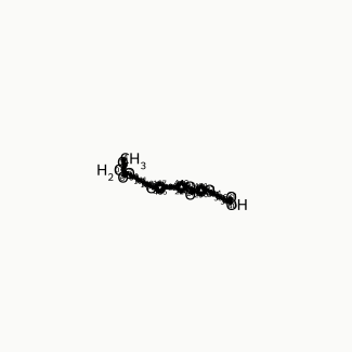 C=C(COC)C(=O)OCCCCCCOc1ccc(C#Cc2ccc(OC(=O)c3ccc(OCCCCCC(=O)O)cc3)cc2)cc1